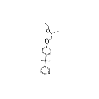 [CH2]C(COc1ccc(C(C)(C)c2ccccc2)cc1)OCC